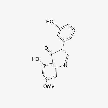 COc1cc(O)c2c(c1)N=CC(c1cccc(O)c1)C2=O